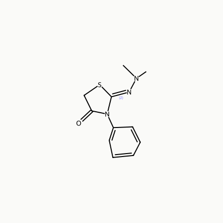 CN(C)/N=C1\SCC(=O)N1c1ccccc1